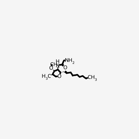 CCCCCCC/C=C/[C@@H]1OC[C@H](C)[C@H](OC)[C@H]1NC(=O)CN